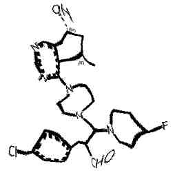 C[C@@H]1C[C@@H](O)c2ncnc(N3CCN(C(C(C=O)c4ccc(Cl)cc4)N4CCC(F)CC4)CC3)c21